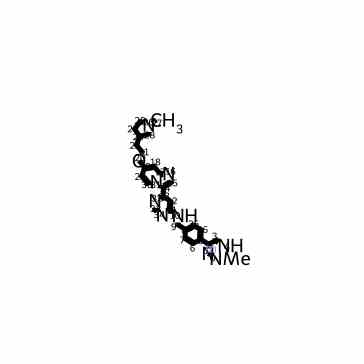 CN/N=C(\C=N)c1ccc(CNc2cc(-c3cnc4cc(OCCC5CCN(C)C5)ccn34)ncn2)cc1